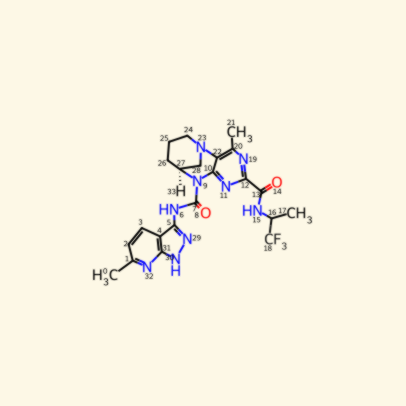 Cc1ccc2c(NC(=O)N3c4nc(C(=O)NC(C)C(F)(F)F)nc(C)c4N4CCC[C@H]3C4)n[nH]c2n1